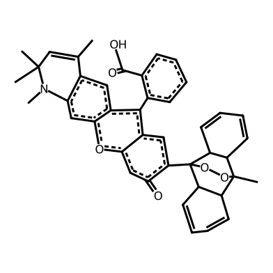 CC1=CC(C)(C)N(C)c2cc3oc4cc(=O)c(C56OOC(C)(C7C=CC=CC75)C5C=CC=CC56)cc-4c(-c4ccccc4C(=O)O)c3cc21